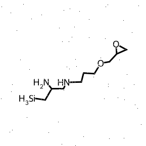 NC(C[SiH3])CNCCCOCC1CO1